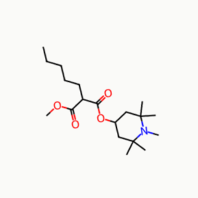 CCCCCC(C(=O)OC)C(=O)OC1CC(C)(C)N(C)C(C)(C)C1